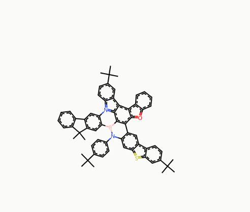 CC(C)(C)c1ccc(N2B3c4cc5c(cc4-n4c6ccc(C(C)(C)C)cc6c6c7c(oc8ccccc87)c(c3c64)-c3cc4c(cc32)sc2cc(C(C)(C)C)ccc24)-c2ccccc2C5(C)C)cc1